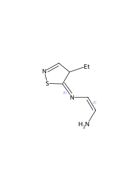 CCC1C=NS/C1=N/C=C\N